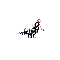 CC(C)[C@@H](C)/C=C/[C@@H](C)[C@H]1CC[C@H]2[C@@H]3C=CC4=CC(=O)C=C[C@]4(C)[C@H]3CC[C@]12C